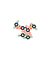 O=C(c1ccc(OS(=O)(=O)c2cc(Cl)ccc2Cl)cc1OS(=O)(=O)c1cc(Cl)ccc1Cl)c1ccc(OS(=O)(=O)c2cc(Cl)ccc2Cl)cc1OS(=O)(=O)c1cc(Cl)ccc1Cl